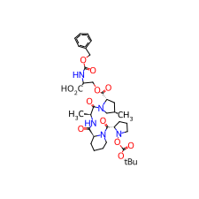 C[C@@H]1C[C@@H](C(=O)OC[C@H](NC(=O)OCc2ccccc2)C(=O)O)N(C(=O)[C@H](C)NC(=O)[C@@H]2CCCCN2C(=O)[C@@H]2CCCN2OC(=O)OC(C)(C)C)C1